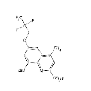 Cc1cc(C(=O)O)nc2c(C(C)(C)C)cc(OCC(F)(F)C(F)(F)F)cc12